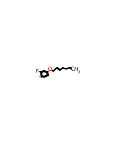 CCCCC=CCOc1cc[c]c(F)c1